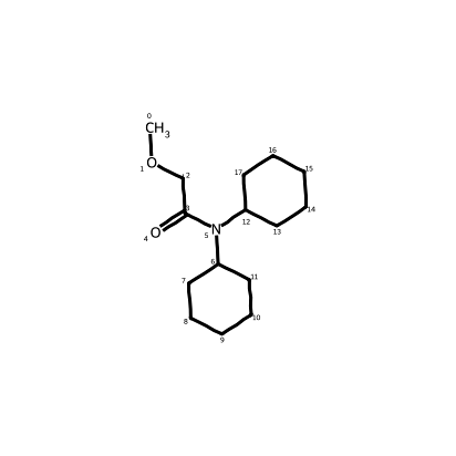 CO[CH]C(=O)N(C1CCCCC1)C1CCCCC1